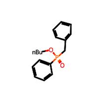 CCCCOP(=O)(Cc1ccccc1)c1ccccc1